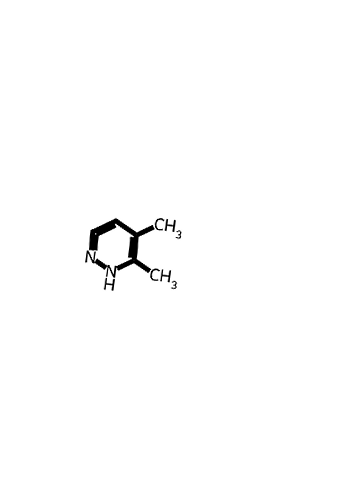 CC1=C(C)NN=C=C1